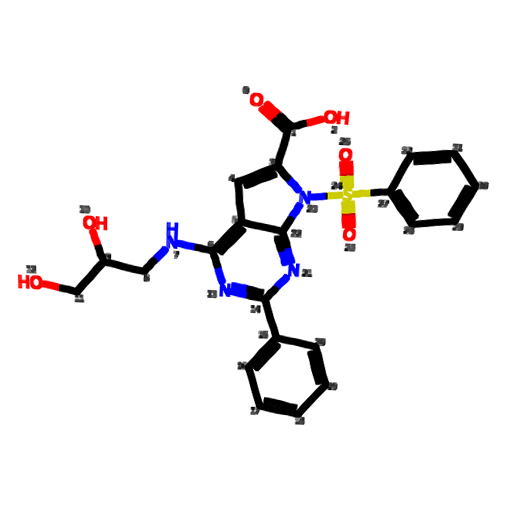 O=C(O)c1cc2c(NCC(O)CO)nc(-c3ccccc3)nc2n1S(=O)(=O)c1ccccc1